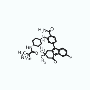 CN[C@@H](C)C(=O)N[C@H]1CC[C@H](Nc2cc(-c3c4n(c5cc(F)ccc35)C(=O)CC(C)(C)C4)ccc2C(N)=O)CC1